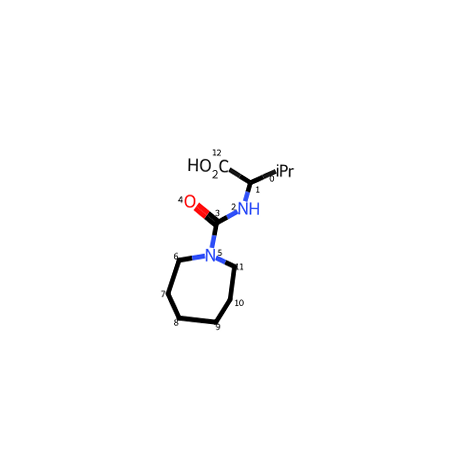 CC(C)C(NC(=O)N1CCCCCC1)C(=O)O